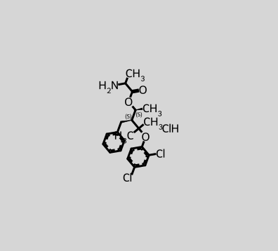 CC(N)C(=O)O[C@@H](C)[C@H](Cc1ccccc1)C(C)(C)Oc1ccc(Cl)cc1Cl.Cl